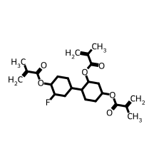 C=C(C)C(=O)OC1CCC(C2CCC(OC(=O)C(=C)C)C(F)C2)C(OC(=O)C(=C)C)C1